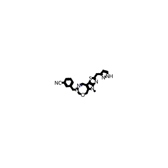 Cn1c2c(c3sc(Cc4cc[nH]n4)nc31)/C=N\N(Cc1cccc(C#N)c1)COC2